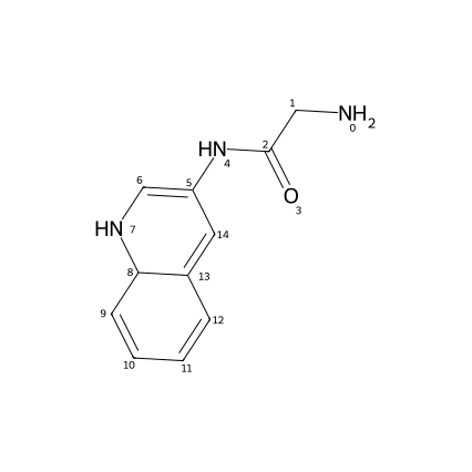 NCC(=O)NC1=CNC2C=CC=CC2=C1